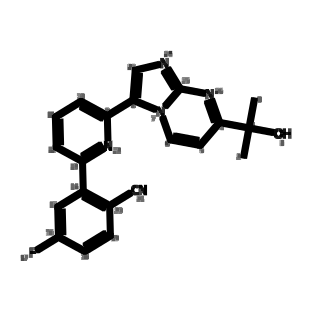 CC(C)(O)c1ccn2c(-c3cccc(-c4cc(F)ccc4C#N)n3)cnc2n1